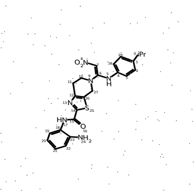 CC(C)c1ccc(N/C(=C/[N+](=O)[O-])N2CCc3nc(C(=O)Nc4ccccc4N)sc3C2)cc1